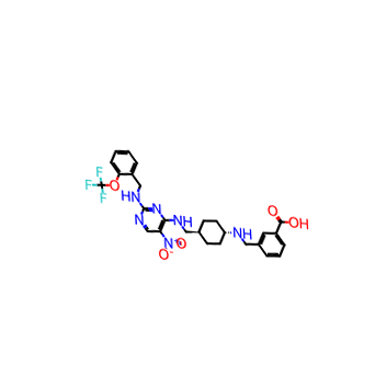 O=C(O)c1cccc(CN[C@H]2CC[C@H](CNc3nc(NCc4ccccc4OC(F)(F)F)ncc3[N+](=O)[O-])CC2)c1